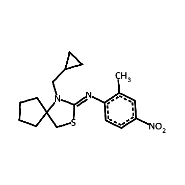 Cc1cc([N+](=O)[O-])ccc1N=C1SCC2(CCCC2)N1CC1CC1